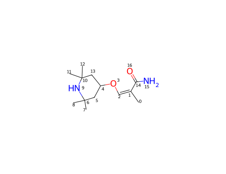 CC(=COC1CC(C)(C)NC(C)(C)C1)C(N)=O